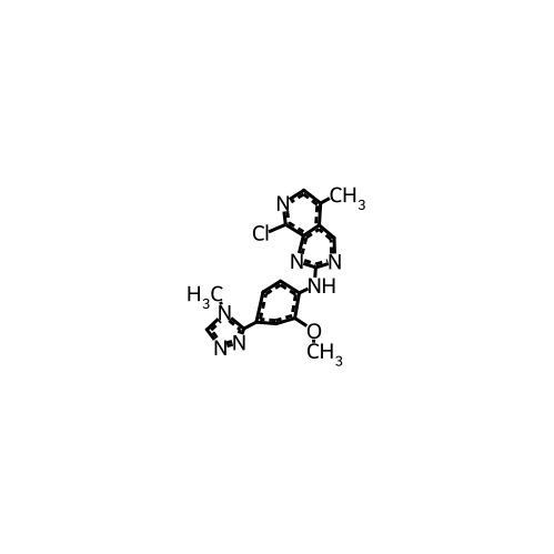 COc1cc(-c2nncn2C)ccc1Nc1ncc2c(C)cnc(Cl)c2n1